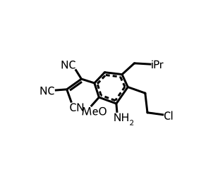 COc1c(C(C#N)=C(C#N)C#N)cc(CC(C)C)c(CCCl)c1N